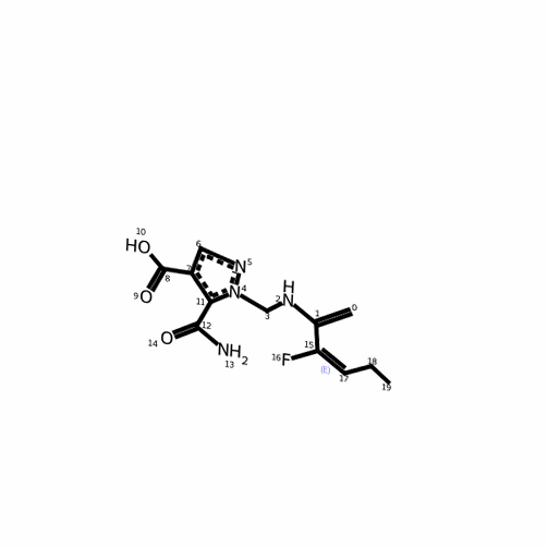 C=C(NCn1ncc(C(=O)O)c1C(N)=O)/C(F)=C\CC